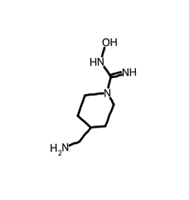 N=C(NO)N1CCC(CN)CC1